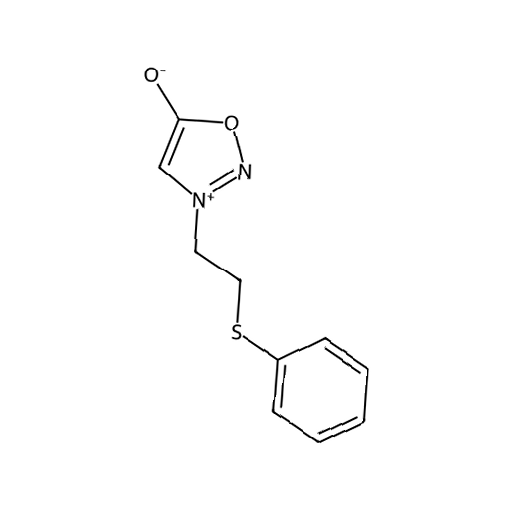 [O-]c1c[n+](CCSc2ccccc2)no1